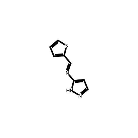 C(=Nc1ccn[nH]1)c1cccs1